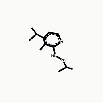 Cc1c(C(C)C)ccnc1NNC(C)C